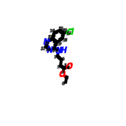 CCOC(=O)CCCNc1ncnc2ccc(Cl)cc12